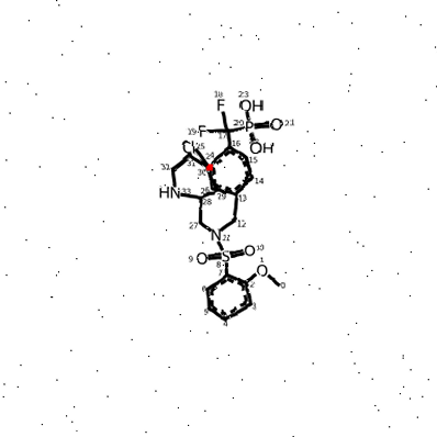 COc1ccccc1S(=O)(=O)N(Cc1ccc(C(F)(F)P(=O)(O)O)c(Cl)c1)CC1CCCCN1